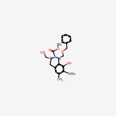 COc1c(C)cc2c(c1O)[C@H](COCc1ccccc1)N(C(=O)OC(C)(C)C)[C@H](CO)C2